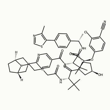 Cc1ncsc1-c1ccc([C@H](C)NC(=O)[C@@H]2C[C@@H](O)CN2C(=O)[C@@H](NC(=O)COCCN2[C@H]3CC[C@H]2CN(c2ccc(C(=O)N[C@H]4C(C)(C)[C@H](Oc5ccc(C#N)c(Cl)c5)C4(C)C)cn2)C3)C(C)(C)C)cc1